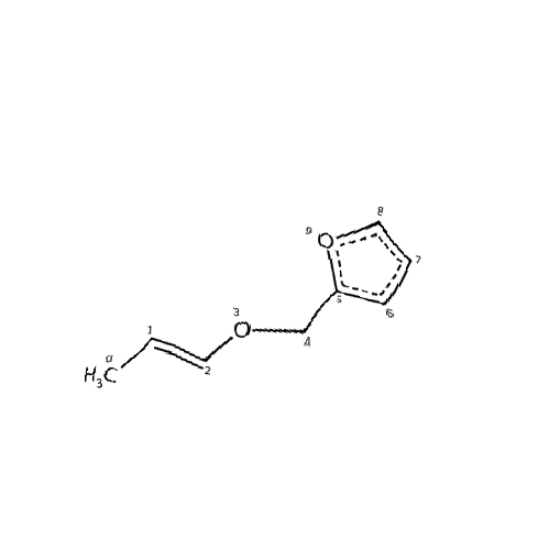 CC=COCc1ccco1